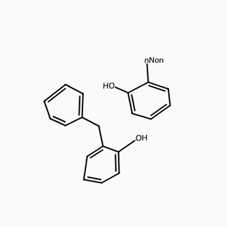 CCCCCCCCCc1ccccc1O.Oc1ccccc1Cc1ccccc1